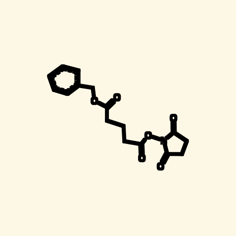 O=C(CCCC(=O)ON1C(=O)CCC1=O)OCc1ccccc1